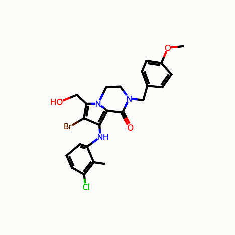 COc1ccc(CN2CCn3c(CO)c(Br)c(Nc4cccc(Cl)c4C)c3C2=O)cc1